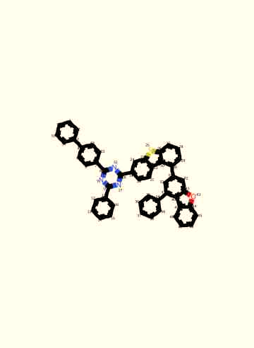 c1ccc(-c2ccc(-c3nc(-c4ccccc4)nc(-c4ccc5c(c4)sc4cccc(-c6cc(-c7ccccc7)c7c(c6)oc6ccccc67)c45)n3)cc2)cc1